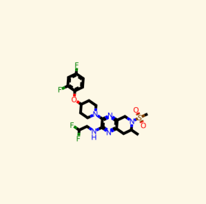 CC1Cc2nc(NCC(F)F)c(N3CCC(Oc4ccc(F)cc4F)CC3)nc2CN1S(C)(=O)=O